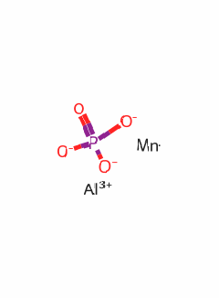 O=P([O-])([O-])[O-].[Al+3].[Mn]